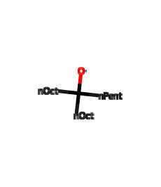 CCCCCCCCC([O])(CCCCC)CCCCCCCC